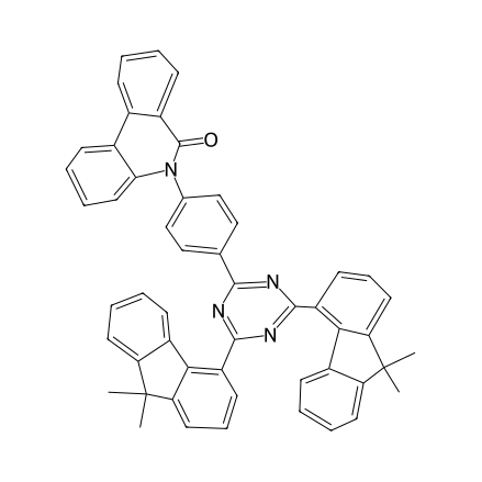 CC1(C)c2ccccc2-c2c(-c3nc(-c4ccc(-n5c(=O)c6ccccc6c6ccccc65)cc4)nc(-c4cccc5c4-c4ccccc4C5(C)C)n3)cccc21